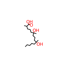 CCCCCC(C)(O)CCCC(C)(O)CCCC(C)C(=O)O